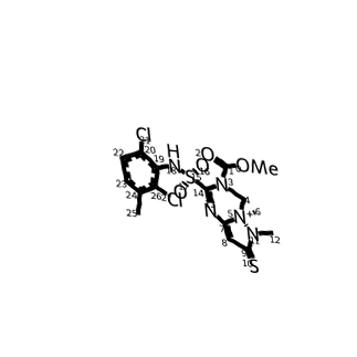 COC(=O)N1C[N+]2(C)C(=CC(=S)N2C)N=C1S(=O)(=O)Nc1c(Cl)ccc(C)c1Cl